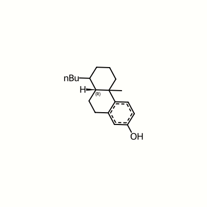 CCCCC1CCCC2(C)c3ccc(O)cc3CC[C@H]12